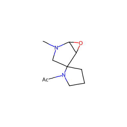 CC(=O)N1CCCC12CN(C)C1OC12